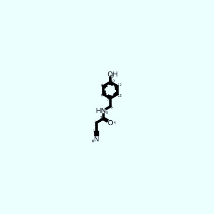 N#CCC(=O)NCc1ccc(O)cc1